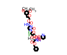 COc1cc(OC)c2oc(COC(=O)Nc3ccn(C4O[C@H](COP(=O)(N[C@@H](C)C(=O)OCc5ccccc5)Oc5cccnc5)[C@@H](O)C4(F)F)c(=O)n3)cc2c1